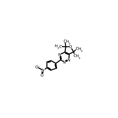 CC1(C)OC(C)(C)c2nc(-c3ccc([N+](=O)[O-])cc3)nnc21